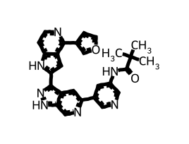 CC(C)(C)C(=O)Nc1cncc(-c2cc3c(-c4cc5c(-c6ccoc6)nccc5[nH]4)n[nH]c3cn2)c1